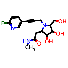 CNC(=O)CC1C(O)C(O)C(CO)N1CC#Cc1ccc(F)nc1